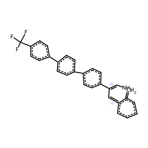 C=c1cccc/c1=C/C(=C\N)c1ccc(-c2ccc(-c3ccc(C(F)(F)F)cc3)cc2)cc1